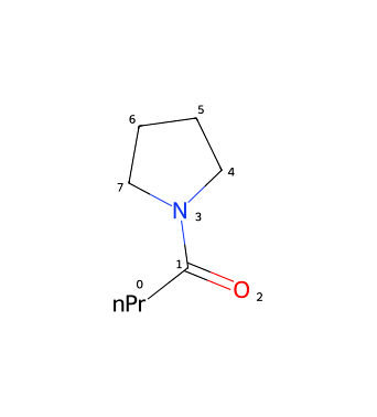 C[CH]CC(=O)N1CCCC1